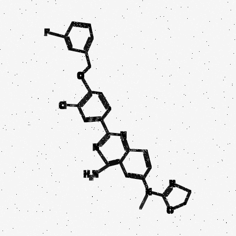 CN(C1=NCCO1)c1ccc2nc(-c3ccc(OCc4cccc(F)c4)c(Cl)c3)nc(N)c2c1